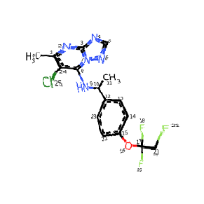 Cc1nc2ncnn2c(NC(C)c2ccc(OC(F)(F)CF)cc2)c1Cl